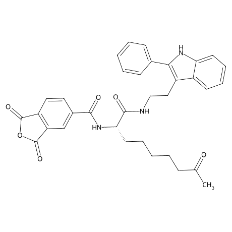 CC(=O)CCCCC[C@H](NC(=O)c1ccc2c(c1)C(=O)OC2=O)C(=O)NCCc1c(-c2ccccc2)[nH]c2ccccc12